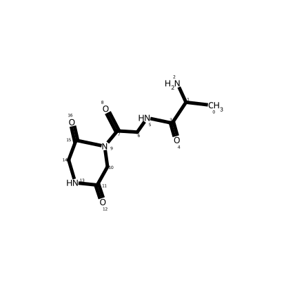 CC(N)C(=O)NCC(=O)N1CC(=O)NCC1=O